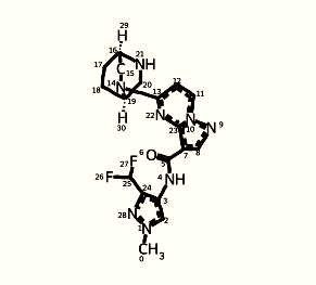 Cn1cc(NC(=O)c2cnn3ccc(N4C[C@H]5CC[C@@H]4CN5)nc23)c(C(F)F)n1